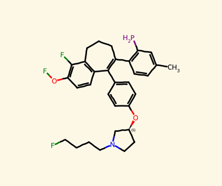 Cc1ccc(C2=C(c3ccc(O[C@H]4CCN(CCCCF)C4)cc3)c3ccc(OF)c(F)c3CCC2)c(P)c1